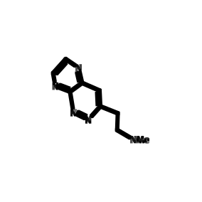 CNCCc1cc2nccnc2nn1